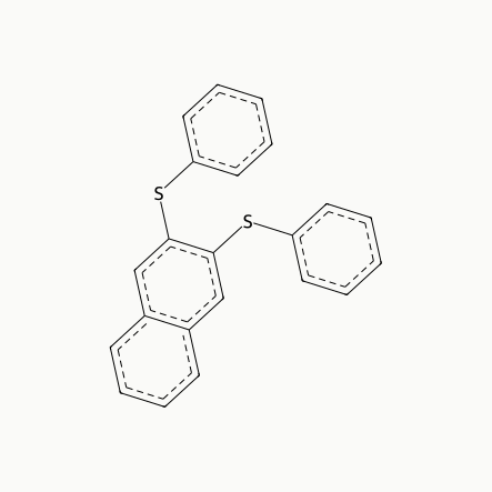 c1ccc(Sc2cc3ccccc3cc2Sc2ccccc2)cc1